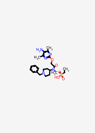 CCS(=O)(=O)O.Cc1nc(OCC(=O)N(C)C2CCN(Cc3ccccc3)CC2)nc(C)c1N